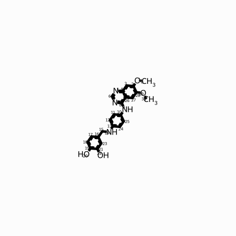 COc1cc2ncnc(Nc3ccc(NCc4ccc(O)c(O)c4)cc3)c2cc1OC